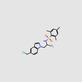 Cc1cc(C)c(S(=O)(=O)NC(Cn2ccc3cc(CCl)ccc32)C(F)(F)F)c(C)c1